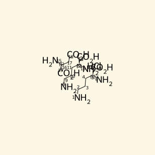 Cl.NCCC[C@H](N)C(=O)O.NCCC[C@H](N)C(=O)O.N[C@@H](CC(=O)O)C(=O)O